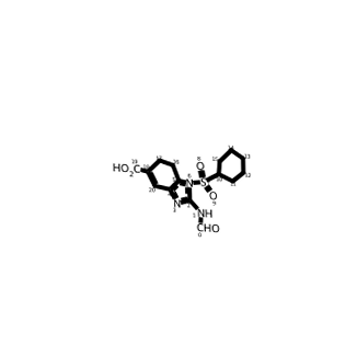 O=CNc1nc2c(n1S(=O)(=O)C1CCCCC1)CCC(C(=O)O)=C2